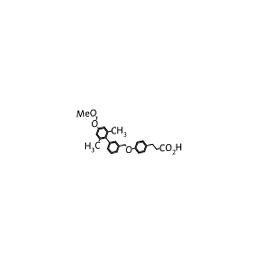 COCOc1cc(C)c(-c2cccc(COc3ccc(CCC(=O)O)cc3)c2)c(C)c1